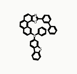 c1ccc(-c2cccc(-c3nc4ccc5ccc6ccc(N(c7ccccc7)c7ccc8c(c7)sc7ccccc78)cc6c5c4o3)c2)cc1